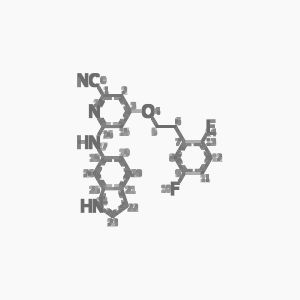 N#Cc1cc(OCCc2cc(F)ccc2F)cc(Nc2ccc3cc[nH]c3c2)n1